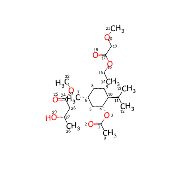 CC(=O)O[C@@H]1C[C@H](C)CC[C@H]1C(C)C.CCOC(=O)COC.COC(=O)CC(C)O